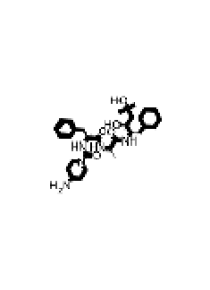 C[C@H](NC(=O)[C@H](Cc1ccccc1)NC(=O)N1CCC(N)CC1)C(=O)N[C@@H](CC1CCCCC1)[C@@H](O)CC(C)(C)O